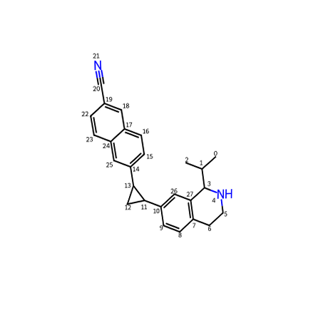 CC(C)C1NCCc2ccc(C3CC3c3ccc4cc(C#N)ccc4c3)cc21